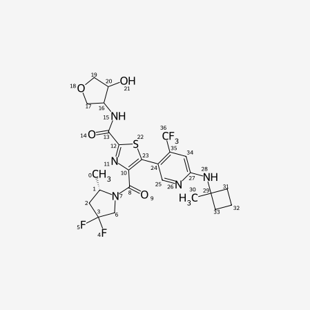 C[C@H]1CC(F)(F)CN1C(=O)c1nc(C(=O)NC2COCC2O)sc1-c1cnc(NC2(C)CCC2)cc1C(F)(F)F